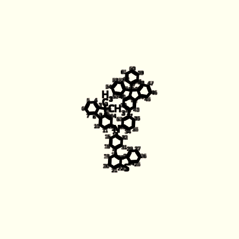 CC1(C)c2ccccc2-c2ccc(N(c3ccc(-c4cccc5sc6ccccc6c45)cc3)c3cccc(-c4ccc5c(c4)-c4ccccc4C5(c4ccccc4)c4ccccc4)c3)cc21